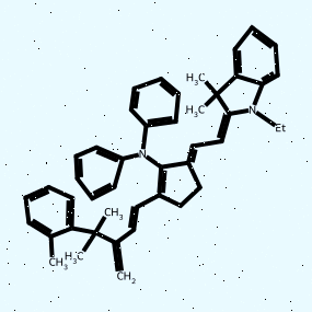 C=C(/C=C/C1=C(N(c2ccccc2)c2ccccc2)C(=C/C=C2/N(CC)c3ccccc3C2(C)C)/CC1)C(C)(C)c1ccccc1C